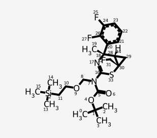 CC(C)(C)OC(=O)N(COCC[Si](C)(C)C)C1=N[C@](C)(c2cccc(F)c2F)[C@@H]2C[C@]2(CF)S1